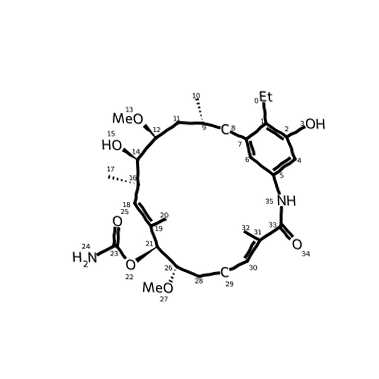 CCc1c(O)cc2cc1C[C@@H](C)C[C@H](OC)[C@H](O)[C@@H](C)/C=C(\C)[C@H](OC(N)=O)[C@@H](OC)CC/C=C(\C)C(=O)N2